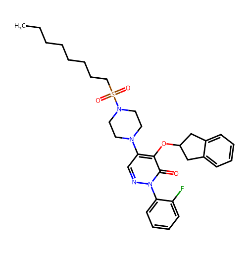 CCCCCCCCS(=O)(=O)N1CCN(c2cnn(-c3ccccc3F)c(=O)c2OC2Cc3ccccc3C2)CC1